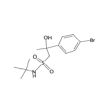 CC(C)(C)NS(=O)(=O)CC(C)(O)c1ccc(Br)cc1